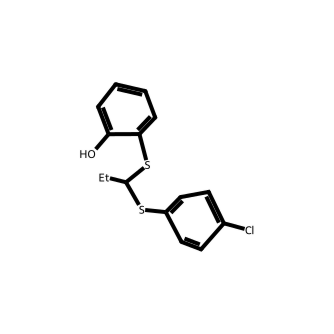 CCC(Sc1ccc(Cl)cc1)Sc1ccccc1O